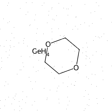 C1COCCO1.[GeH4]